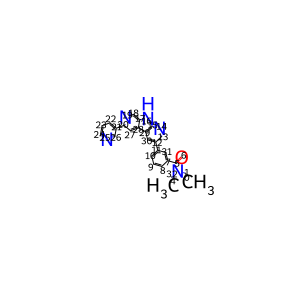 CCN(CC)C(=O)c1cccc(-c2cnc3[nH]c4cnc(-c5cccnc5)cc4c3c2)c1